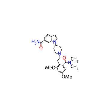 COc1cc(OC)c(CCN2CCC(n3ccc4ccc(C(N)=O)cc43)CC2)c(C(=O)N(C)C)c1